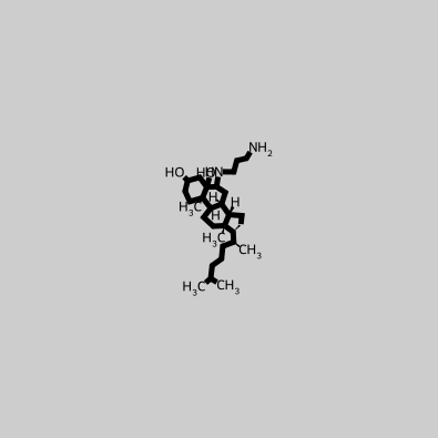 CC(C)CCC[C@@H](C)[C@H]1CC[C@H]2[C@@H]3CC(NCCCN)C4(O)CC(O)CC[C@]4(C)[C@H]3CC[C@]12C